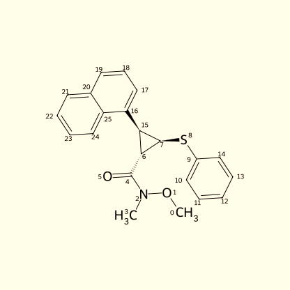 CON(C)C(=O)[C@H]1[C@H](Sc2ccccc2)[C@@H]1c1cccc2ccccc12